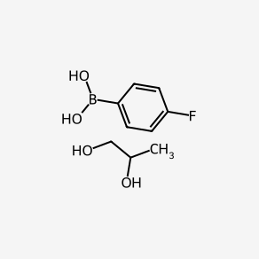 CC(O)CO.OB(O)c1ccc(F)cc1